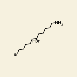 Br.NCCCCCCCCCCCBr